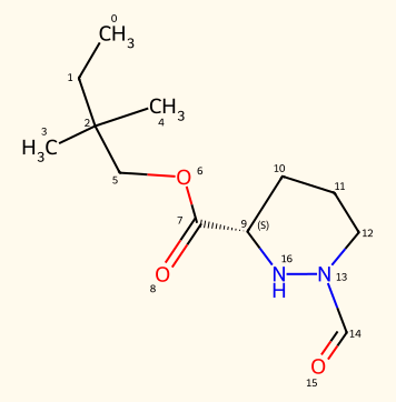 CCC(C)(C)COC(=O)[C@@H]1CCCN(C=O)N1